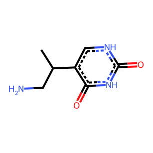 CC(CN)c1c[nH]c(=O)[nH]c1=O